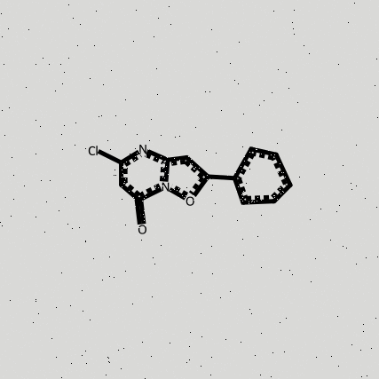 O=c1cc(Cl)nc2cc(-c3ccccc3)on12